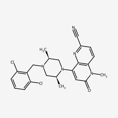 C[C@H]1CN(c2cc(=O)n(C)c3ccc(C#N)nc23)[C@@H](C)CN1Cc1c(Cl)cccc1Cl